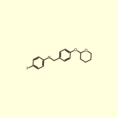 Fc1ccc([N]Cc2ccc(OC3CCCCO3)cc2)cc1